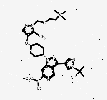 CCN(C(=O)O)c1cc2c(cn1)c(-c1cnn(C(C)(C)C#N)c1)nn2[C@H]1CC[C@@H](Oc2cnn(COCC[Si](C)(C)C)c2C(F)(F)F)CC1